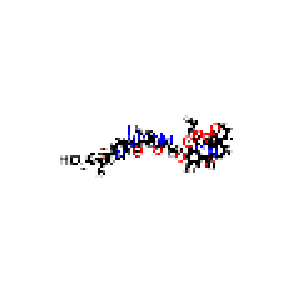 C=CCOC(=O)N1c2cc(OCCCC(=O)Nc3cc(C(=O)Nc4ccc(-c5cc(C)c(C(=O)O)s5)nc4)n(C)c3)c(C)cc2C(=O)N2CCCC[C@H]2C1OC1CCCCO1